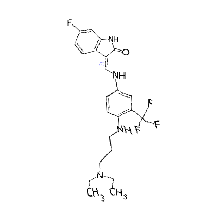 CCN(CC)CCCNc1ccc(N/C=C2\C(=O)Nc3cc(F)ccc32)cc1C(F)(F)F